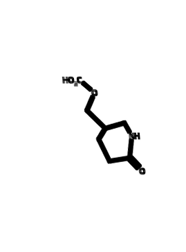 O=C1CCC(COC(=O)O)CN1